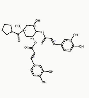 O=C(/C=C/c1ccc(O)c(O)c1)OC1[C@H](O)C[C@](O)(C(=O)N2CCCC2)C[C@H]1OC(=O)/C=C/c1ccc(O)c(O)c1